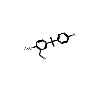 CC(=O)Oc1ccc(C(C)(C)c2ccc(C(C)=O)cc2)cc1CC(C)C